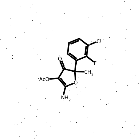 CC(=O)OC1=C(N)OC(C)(c2cccc(Cl)c2F)C1=O